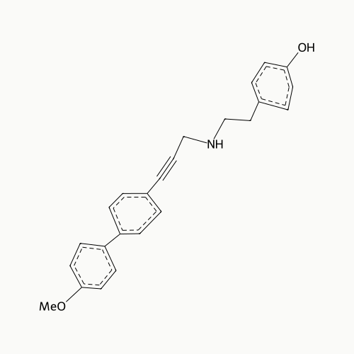 COc1ccc(-c2ccc(C#CCNCCc3ccc(O)cc3)cc2)cc1